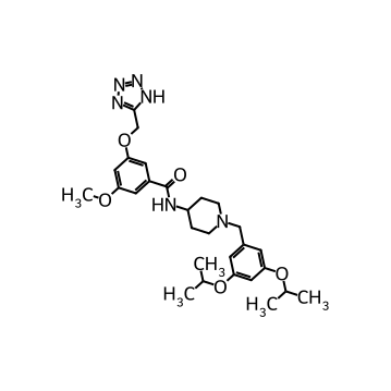 COc1cc(OCc2nnn[nH]2)cc(C(=O)NC2CCN(Cc3cc(OC(C)C)cc(OC(C)C)c3)CC2)c1